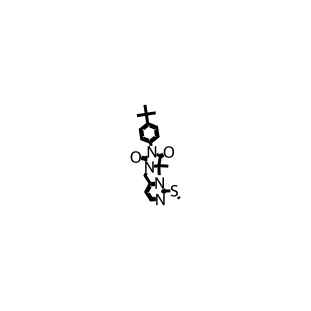 CSc1nccc(CN2C(=O)N(c3ccc(C(C)(C)C)cc3)C(=O)C2(C)C)n1